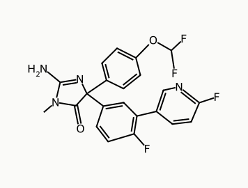 CN1C(=O)C(c2ccc(OC(F)F)cc2)(c2ccc(F)c(-c3ccc(F)nc3)c2)N=C1N